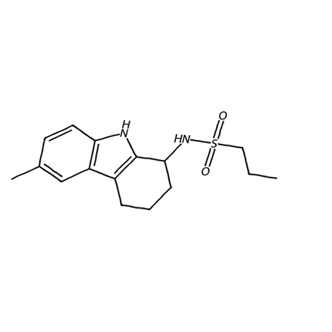 CCCS(=O)(=O)NC1CCCc2c1[nH]c1ccc(C)cc21